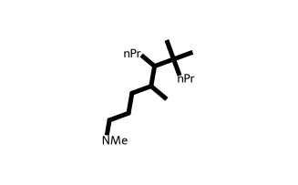 CCCC(C(C)CCCNC)C(C)(C)CCC